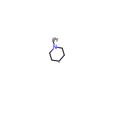 CC(C)N1CC[C]CC1